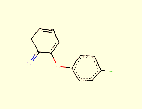 N=C1CC=CC=C1Oc1ccc(Cl)cc1